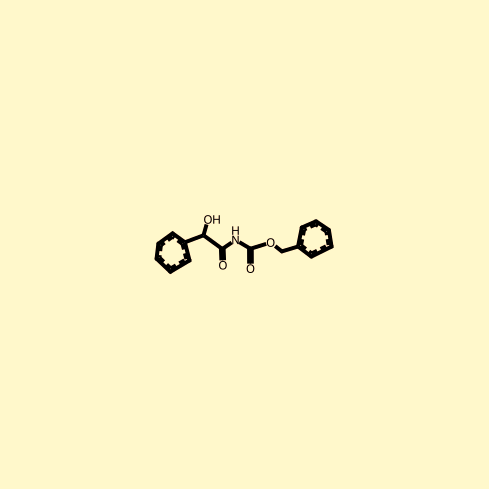 O=C(NC(=O)C(O)c1ccccc1)OCc1ccccc1